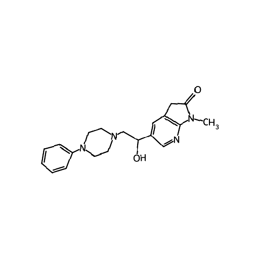 CN1C(=O)Cc2cc(C(O)CN3CCN(c4ccccc4)CC3)cnc21